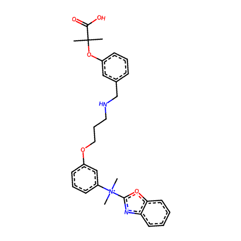 CC(C)(Oc1cccc(CNCCCOc2cccc([N+](C)(C)c3nc4ccccc4o3)c2)c1)C(=O)O